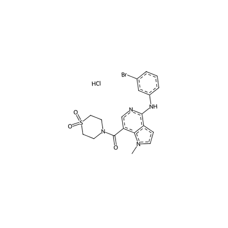 Cl.Cn1ccc2c(Nc3cccc(Br)c3)ncc(C(=O)N3CCS(=O)(=O)CC3)c21